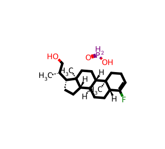 C[C@H](CO)[C@H]1CC[C@H]2[C@@H]3CC[C@H]4C(F)=CCC[C@]4(C)[C@H]3CC[C@]12C.O=[PH2]O